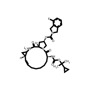 CC(C)(OC(=O)N[C@H]1CCCCC/C=C\[C@@H]2C[C@@]2(I)NC(=O)[C@@H]2C[C@@H](OC(=O)N3Cc4cccc(F)c4C3)CN2C1=O)C1CC1